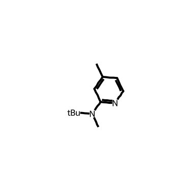 Cc1ccnc(N(C)C(C)(C)C)c1